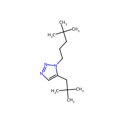 CC(C)(C)CCCn1nncc1CC(C)(C)C